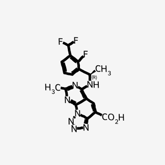 Cc1nc(N[C@H](C)c2cccc(C(F)F)c2F)c2cc(C(=O)O)c3nnnn3c2n1